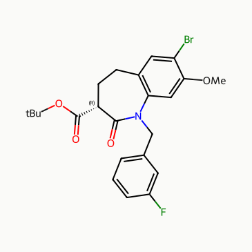 COc1cc2c(cc1Br)CC[C@@H](C(=O)OC(C)(C)C)C(=O)N2Cc1cccc(F)c1